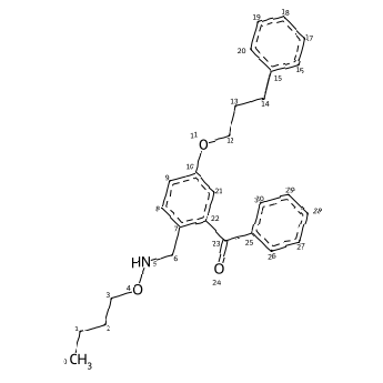 CCCCONCc1ccc(OCCCc2ccccc2)cc1C(=O)c1ccccc1